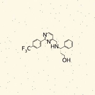 OCC[C@H](NCc1ccnc(-c2ccc(C(F)(F)F)cc2)n1)c1ccccc1